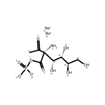 CC(=O)[C@](N)(C(=O)OP(=O)([O-])[O-])[C@@H](O)[C@H](O)[C@H](O)CO.[Na+].[Na+]